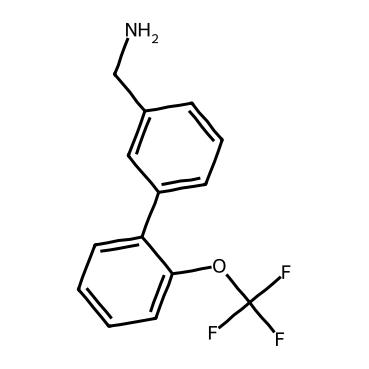 NCc1cccc(-c2ccccc2OC(F)(F)F)c1